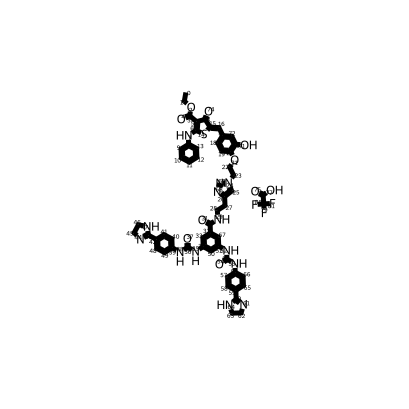 CCOC(=O)C1=C(Nc2ccccc2)S/C(=C\c2ccc(OCCn3cc(CCNC(=O)c4cc(NC(=O)Nc5ccc(C6=NCCN6)cc5)cc(NC(=O)Nc5ccc(C6=NCCN6)cc5)c4)nn3)c(O)c2)C1=O.O=C(O)C(F)(F)F